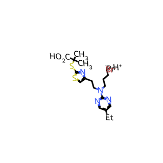 CCc1cnc(N(CCCC(C)C)CCc2csc(SC(C)(C)C(=O)O)n2)nc1.[Br-].[H+]